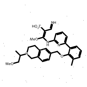 COCC(C)N1CCc2cc(COc3c(C)cccc3-c3cccc(N/C(OC)=C(\C=N)C(=O)O)n3)ccc2C1